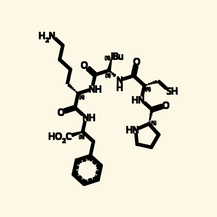 CC[C@H](C)[C@H](NC(=O)[C@H](CS)NC(=O)[C@@H]1CCCN1)C(=O)N[C@@H](CCCCN)C(=O)N[C@@H](Cc1ccccc1)C(=O)O